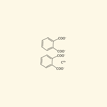 O=C([O-])c1ccccc1C(=O)[O-].O=C([O-])c1ccccc1C(=O)[O-].[C+4]